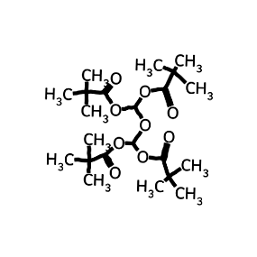 CC(C)(C)C(=O)OC(OC(=O)C(C)(C)C)OC(OC(=O)C(C)(C)C)OC(=O)C(C)(C)C